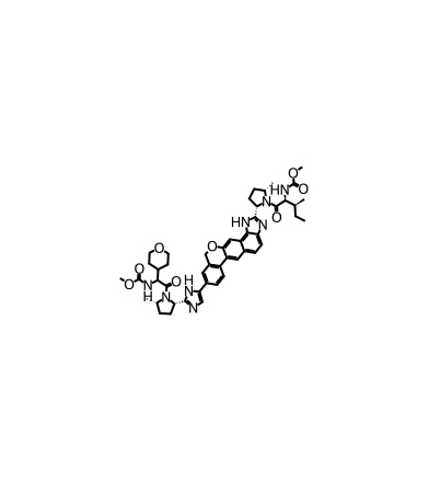 CC[C@H](C)[C@H](NC(=O)OC)C(=O)N1[C@@H](C)CC[C@H]1c1nc2ccc3cc4c(cc3c2[nH]1)OCc1cc(-c2cnc([C@@H]3CC[C@H](C)N3C(=O)C(NC(=O)OC)C3CCOCC3)[nH]2)ccc1-4